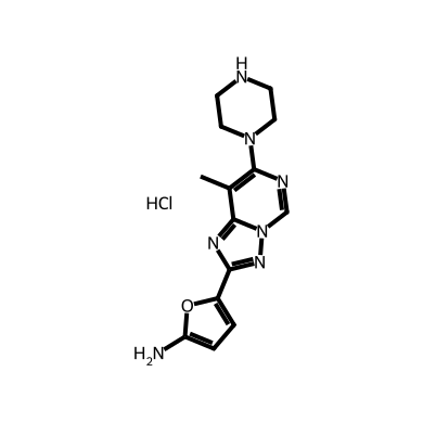 Cc1c(N2CCNCC2)ncn2nc(-c3ccc(N)o3)nc12.Cl